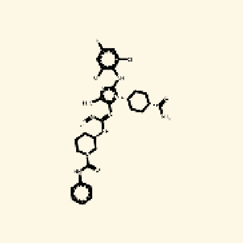 C=N/C(=N\c1c(C)nc(Nc2c(Cl)cc(F)cc2Cl)n1[C@H]1CC[C@@H](C(N)=O)CC1)N[C@@H]1CCCN(C(=O)Nc2ccccc2)C1